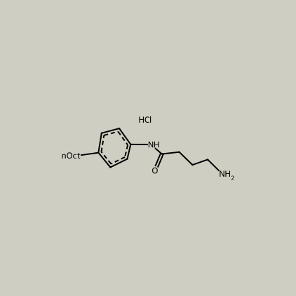 CCCCCCCCc1ccc(NC(=O)CCCN)cc1.Cl